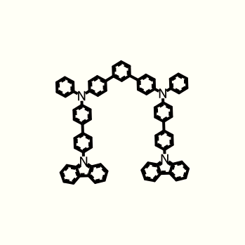 c1ccc(N(c2ccc(-c3ccc(-n4c5ccccc5c5ccccc54)cc3)cc2)c2ccc(-c3cccc(-c4ccc(N(c5ccccc5)c5ccc(-c6ccc(-n7c8ccccc8c8ccccc87)cc6)cc5)cc4)c3)cc2)cc1